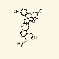 COc1ccnc(CN2C(=O)CC3(C2=O)C(=O)N(CC(=O)O)c2ccc(Cl)cc23)c1OC